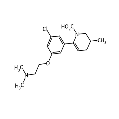 C[C@H]1CC=C(c2cc(Cl)cc(OCCN(C)C)c2)N(C(=O)O)C1